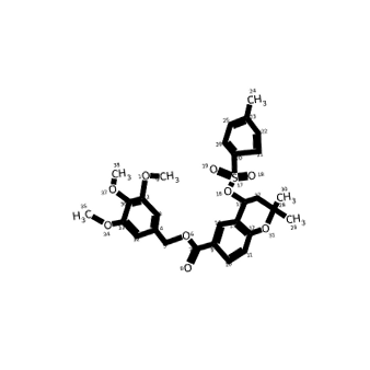 COc1cc(COC(=O)c2ccc3c(c2)C(OS(=O)(=O)c2ccc(C)cc2)CC(C)(C)O3)cc(OC)c1OC